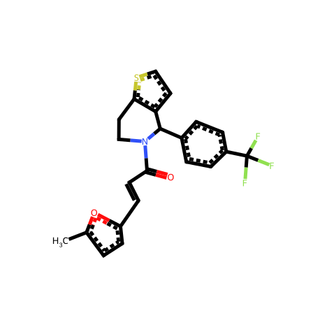 Cc1ccc(C=CC(=O)N2CCc3sccc3C2c2ccc(C(F)(F)F)cc2)o1